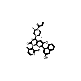 C=CC(=O)N1C[C@H](C)N(c2nc(=O)n(-c3c(C)ccnc3C(C)C)c3nc(-c4cc(O)cc5ccccc45)c(Cl)cc23)C[C@H]1C